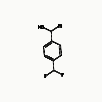 CCC(O)c1ccc(C(F)F)cc1